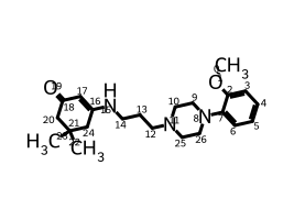 COc1ccccc1N1CCN(CCCNC2=CC(=O)CC(C)(C)C2)CC1